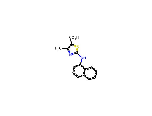 Cc1nc(Nc2cccc3ccccc23)sc1C(=O)O